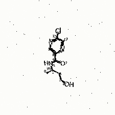 C[C@H](CCO)NC(=O)c1cnc(Cl)cn1